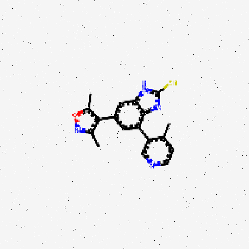 Cc1ccncc1-c1cc(-c2c(C)noc2C)cc2[nH]c(S)nc12